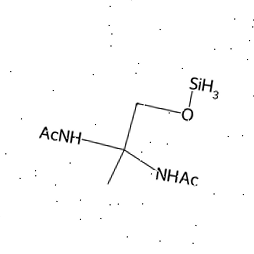 CC(=O)NC(C)(CO[SiH3])NC(C)=O